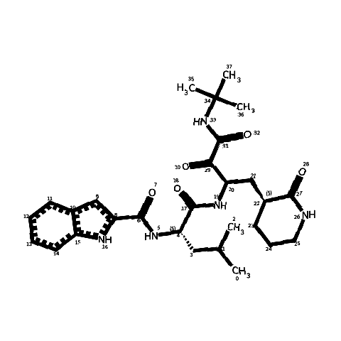 CC(C)C[C@H](NC(=O)c1cc2ccccc2[nH]1)C(=O)NC(C[C@@H]1CCCNC1=O)C(=O)C(=O)NC(C)(C)C